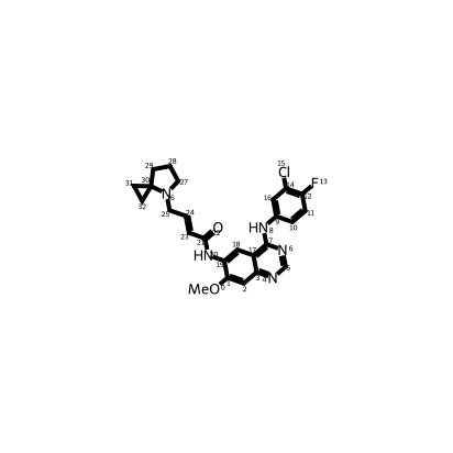 COc1cc2ncnc(Nc3ccc(F)c(Cl)c3)c2cc1NC(=O)/C=C/CN1CCCC12CC2